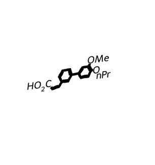 CCCOc1ccc(-c2cccc(/C=C\C(=O)O)c2)cc1OC